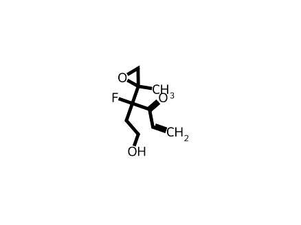 C=CC(=O)C(F)(CCO)C1(C)CO1